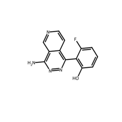 Nc1nnc(-c2c(O)cccc2F)c2ccncc12